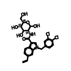 C=Cc1ccc2c(C(=O)N[C@H]3C(O)O[C@H](CO)[C@@H](O)C3O)cn(Cc3ccc(Cl)c(Cl)c3)c2c1